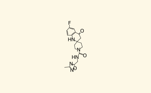 Cc1noc(CNC(=O)N2CCC3(CC2)CC(=O)c2cc(F)ccc2N3)n1